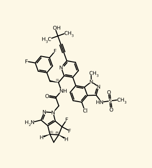 Cn1nc(NS(C)(=O)=O)c2c(Cl)ccc(-c3ccc(C#CC(C)(C)O)nc3[C@H](Cc3cc(F)cc(F)c3)NC(=O)Cn3nc(N)c4c3C(F)(F)[C@@H]3C[C@H]43)c21